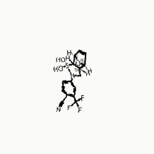 N#Cc1ccc(N2C[C@@H]3[C@@H]([C@H]4C=C[C@@H]3O4)S2(O)O)cc1C(F)(F)F